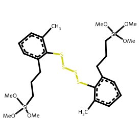 CO[Si](CCCc1cccc(C)c1SSSSc1c(C)cccc1CCC[Si](OC)(OC)OC)(OC)OC